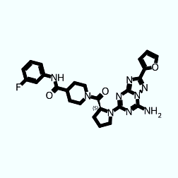 Nc1nc(N2CCC[C@H]2C(=O)N2CCC(C(=O)Nc3cccc(F)c3)CC2)nc2nc(-c3ccco3)nn12